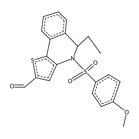 CCC1c2ccccc2-c2sc(C=O)cc2N1S(=O)(=O)c1ccc(OC)cc1